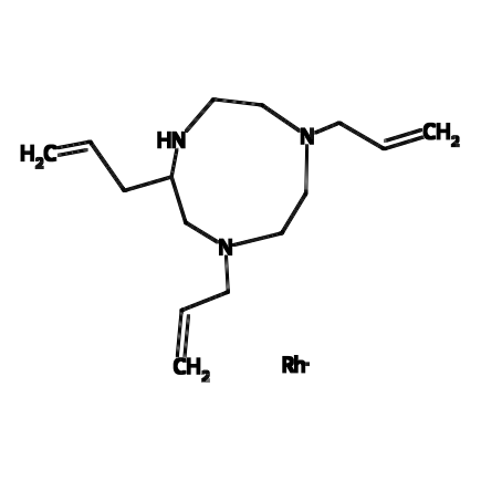 C=CCC1CN(CC=C)CCN(CC=C)CCN1.[Rh]